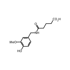 COc1cc(CNC(=O)CCCC(=O)O)ccc1O